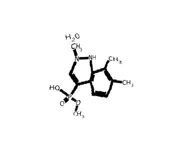 COP(=O)(O)C1=CN(C)Nc2c1ccc(C)c2C.O